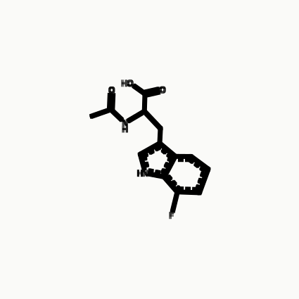 CC(=O)NC(Cc1c[nH]c2c(F)cccc12)C(=O)O